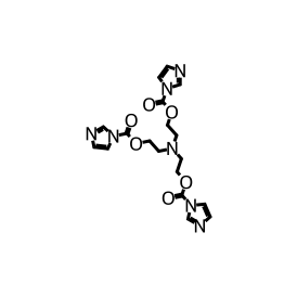 O=C(OCCN(CCOC(=O)n1ccnc1)CCOC(=O)n1ccnc1)n1ccnc1